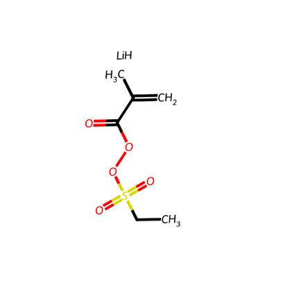 C=C(C)C(=O)OOS(=O)(=O)CC.[LiH]